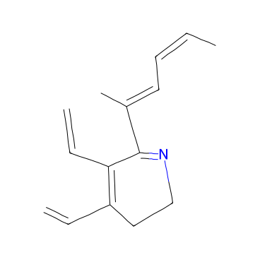 C=CC1=C(C=C)C(/C(C)=C/C=C\C)=NCC1